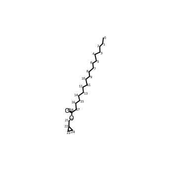 CCCCCCCCCCCCCCCCCCC(=O)OCC1CC1